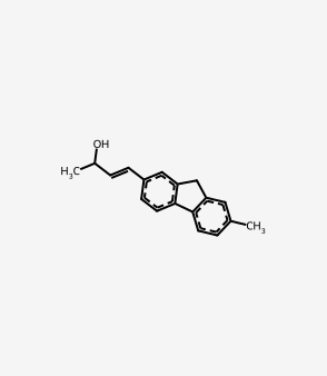 Cc1ccc2c(c1)Cc1cc(/C=C/C(C)O)ccc1-2